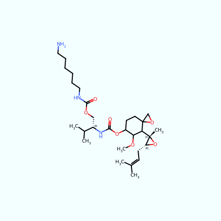 COC1C(OC(=O)N[C@@H](COC(=O)NCCCCCCN)C(C)C)CCC2(CO2)C1[C@]1(C)O[C@@H]1CC=C(C)C